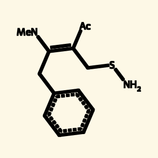 CNC(Cc1ccccc1)=C(CSN)C(C)=O